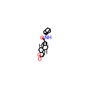 C[C@]12CC[C@@H]3[C@@H](CCC4OC(=O)C=C[C@@]43C)[C@@H]1CC(C(=O)NC1C3CC4CC(C3)CC1C4)C2